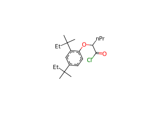 CCCC(Oc1ccc(C(C)(C)CC)cc1C(C)(C)CC)C(=O)Cl